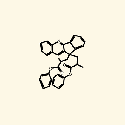 CC(CC1(CC(C)C(=O)Oc2ccccc2)c2ccccc2-c2nc3ccccc3cc21)C(=O)Oc1ccccc1